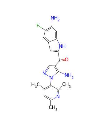 Cc1cc(C)c(-n2ncc(C(=O)c3cc4cc(F)c(N)cc4[nH]3)c2N)c(C)n1